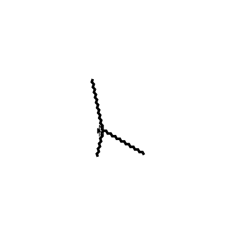 CCCCCCCCCCCCCCCCCCCN1C=CN(CCCCCCCCC)C1CCCCCCCCCCCCCCCCCC